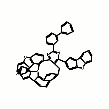 c1ccc(-c2cccc(-c3nc(-c4ccc5oc6ccccc6c5c4)c4c(n3)-c3ccc5oc6ccccc6c5c3-n3c5cc6ccccc6cc5c5ccc6cc(ccc6c53)C4)c2)cc1